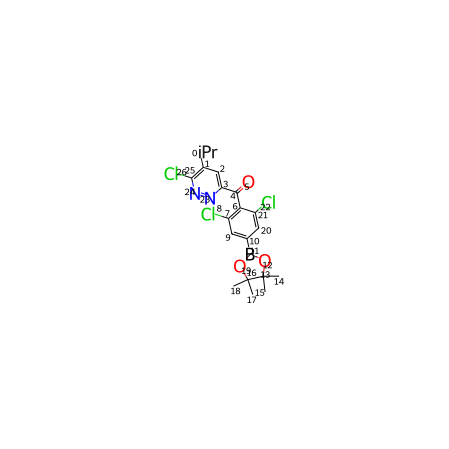 CC(C)c1cc(C(=O)c2c(Cl)cc(B3OC(C)(C)C(C)(C)O3)cc2Cl)nnc1Cl